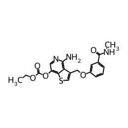 CCOC(=O)Oc1cnc(N)c2c(COc3cccc(C(=O)NC)c3)csc12